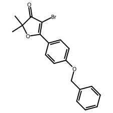 CC1(C)OC(c2ccc(OCc3ccccc3)cc2)=C(Br)C1=O